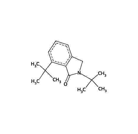 CC(C)(C)c1cccc2c1C(=O)N(C(C)(C)C)C2